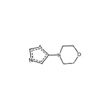 c1ncc(N2CCOCC2)s1